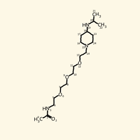 CC(=O)NCCOCCOCCOCCN1CCC(NC(C)C)CC1